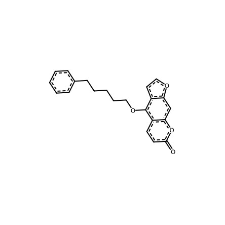 O=c1ccc2c(OCCCCCc3ccccc3)c3ccoc3cc2o1